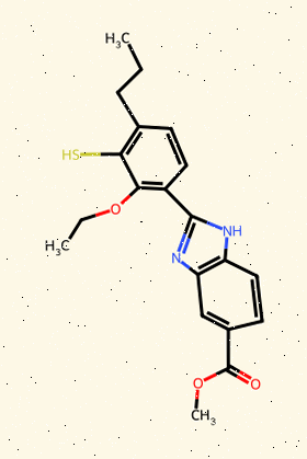 CCCc1ccc(-c2nc3cc(C(=O)OC)ccc3[nH]2)c(OCC)c1S